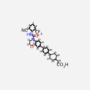 N#Cc1cccc(C(F)(F)F)c1NC(=O)N1CCOc2cc(-c3ccc(C4CCC(CC(=O)O)CC4)cc3)ccc21